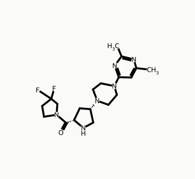 Cc1cc(N2CCN([C@@H]3CN[C@H](C(=O)N4CCC(F)(F)C4)C3)CC2)nc(C)n1